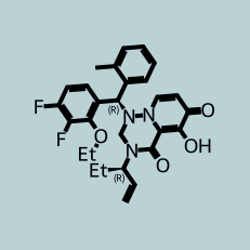 C=C[C@@H](CC)N1CN([C@H](c2ccccc2C)c2ccc(F)c(F)c2OCC)n2ccc(=O)c(O)c2C1=O